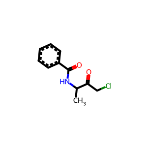 CC(NC(=O)c1ccccc1)C(=O)CCl